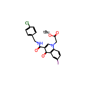 CC(C)(C)OC(=O)Cn1cc(C(=O)NCc2ccc(Cl)cc2)c(=O)c2cc(I)ccc21